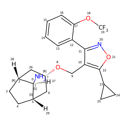 N[C@@H]1[C@@H]2CC[C@H]1C[C@@H](OCc1c(-c3ccccc3OC(F)(F)F)noc1C1CC1)C2